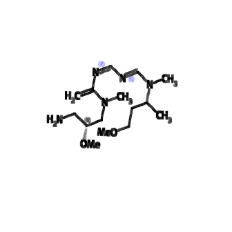 C=C(/N=C\N=C\N(C)C(C)CCOC)N(C)C[C@@H](CN)OC